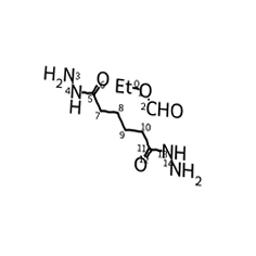 CCOC=O.NNC(=O)CCCCC(=O)NN